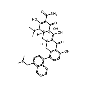 CN(C)Cc1ccc(-c2ccc(O)c3c2C[C@H]2C[C@H]4C(N(C)C)C(O)=C(C(N)=O)C(=O)[C@@]4(O)C(O)=C2C3=O)c2ccccc12